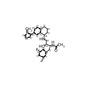 CC(=O)N[C@@H](Cc1cc(F)cc(F)c1)[C@@H](O)CNC1CCCc2ccc(-c3cncn3C)cc21